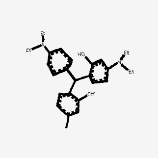 CCN(CC)c1ccc(C(c2ccc(C)cc2O)c2ccc(N(CC)CC)cc2O)cc1